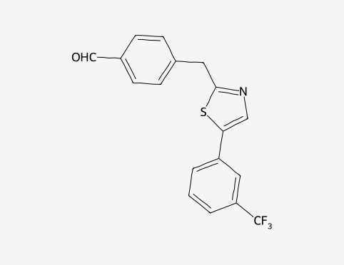 O=Cc1ccc(Cc2ncc(-c3cccc(C(F)(F)F)c3)s2)cc1